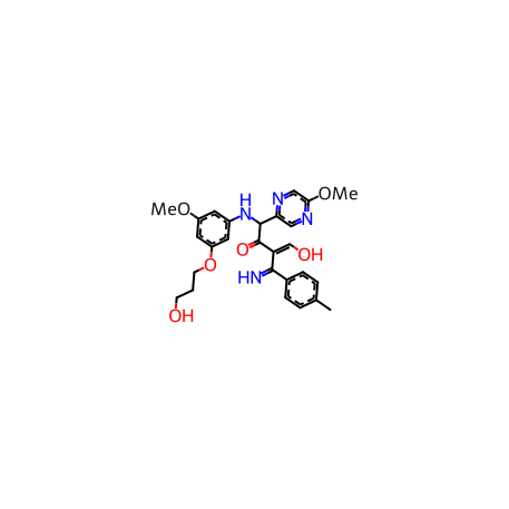 COc1cc(NC(C(=O)/C(=C/O)C(=N)c2ccc(C)cc2)c2cnc(OC)cn2)cc(OCCCO)c1